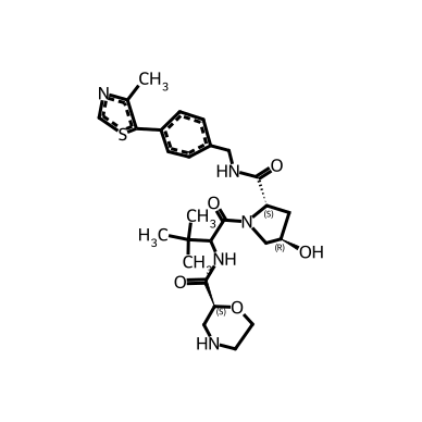 Cc1ncsc1-c1ccc(CNC(=O)[C@@H]2C[C@@H](O)CN2C(=O)C(NC(=O)[C@@H]2CNCCO2)C(C)(C)C)cc1